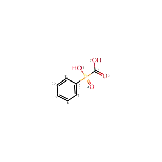 O=C(O)P(=O)(O)c1ccccc1